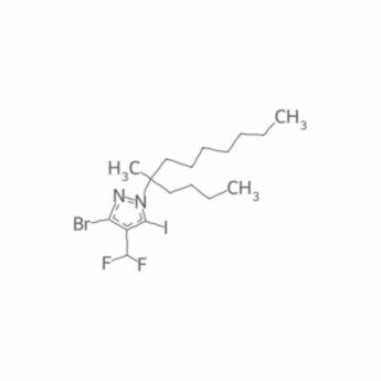 CCCCCCCC(C)(CCCC)n1nc(Br)c(C(F)F)c1I